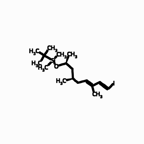 CC(/C=C/I)=C\C[C@@H](C)C[C@H](C)O[Si](C)(C)C(C)(C)C